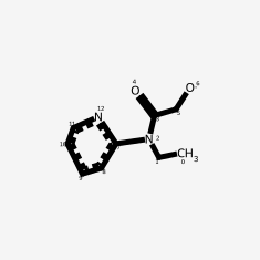 CCN(C(=O)C[O])c1ccccn1